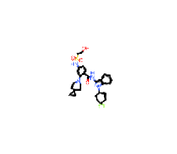 O=C(Nc1nn(C2CCC(F)(F)CC2)c2ccccc12)c1ccc(NS(=O)(=O)CCO)cc1N1CCC2(CC1)CC2